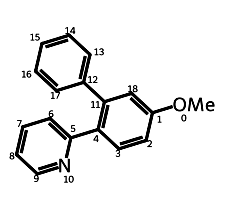 COc1ccc(-c2ccccn2)c(-c2ccccc2)c1